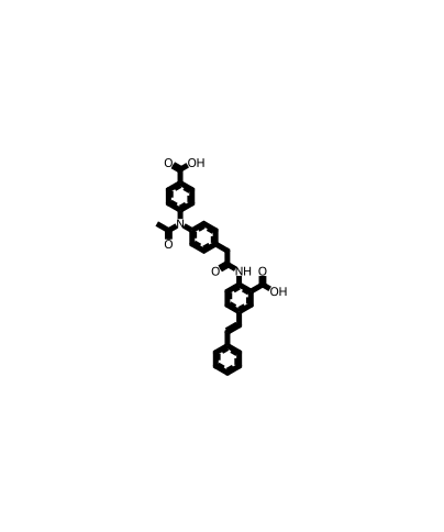 CC(=O)N(c1ccc(CC(=O)Nc2ccc(C=Cc3ccccc3)cc2C(=O)O)cc1)c1ccc(C(=O)O)cc1